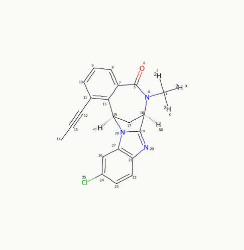 [2H]C([2H])([2H])N1C(=O)c2cccc(C#CC)c2[C@H]2C[C@@H]1c1nc3ccc(Cl)cc3n12